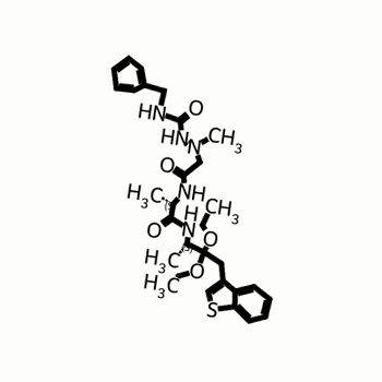 CCOC(Cc1csc2ccccc12)(OCC)[C@H](C)NC(=O)[C@H](C)NC(=O)CN(C)NC(=O)NCc1ccccc1